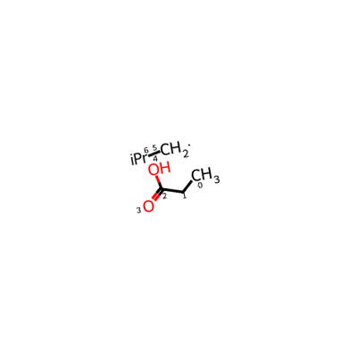 CCC(=O)O.[CH2]C(C)C